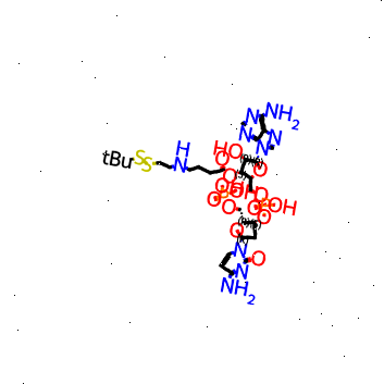 CC(C)(C)SSCCNCCCC(=O)O[C@@H]1C(COP(=O)(O)O[C@H]2C[C@H](n3ccc(N)nc3=O)O[C@@H]2COP(=O)(O)O)O[C@@H](n2cnc3c(N)ncnc32)[C@@H]1O